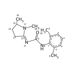 Cc1cccc(C)c1NC(=O)N=C1CCC(C)N1C